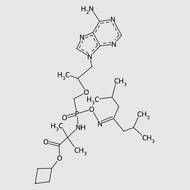 CC(C)CC(CC(C)C)=NOP(=O)(COC(C)Cn1cnc2c(N)ncnc21)NC(C)(C)C(=O)OC1CCC1